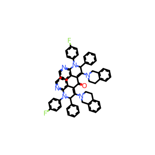 O=C(C1=C(N2CCc3ccccc3C2)C(c2ccccc2)N(c2ccc(F)cc2)c2ncccc21)C1=C(N2CCc3ccccc3C2)C(c2ccccc2)N(c2ccc(F)cc2)c2ncccc21